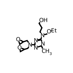 CCOCN(CCCO)c1nc(C)nc(N(CC2CO2)CC2CO2)n1